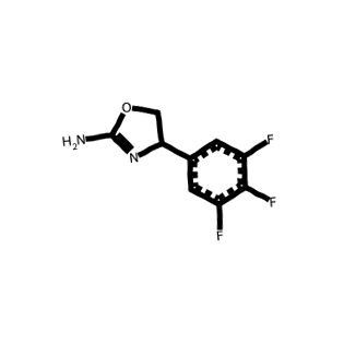 NC1=NC(c2cc(F)c(F)c(F)c2)CO1